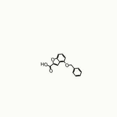 O=C(O)c1cc2c(OCc3ccccc3)cccc2o1